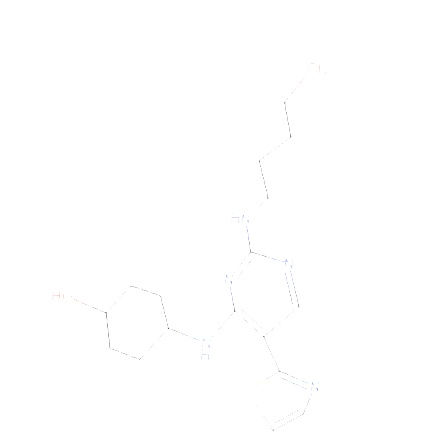 OCCCCNc1ncc(-c2nccs2)c(NC2CCC(O)CC2)n1